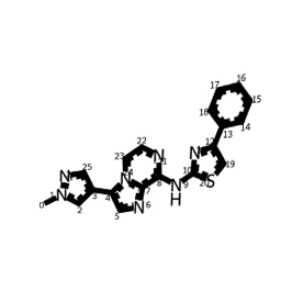 Cn1cc(-c2cnc3c(Nc4nc(-c5ccccc5)cs4)nccn23)cn1